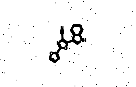 N#Cc1nc(-c2ccco2)oc1-c1c[nH]c2ccccc12